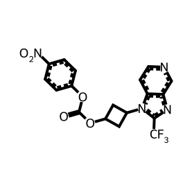 O=C(Oc1ccc([N+](=O)[O-])cc1)OC1CC(n2c(C(F)(F)F)nc3cnccc32)C1